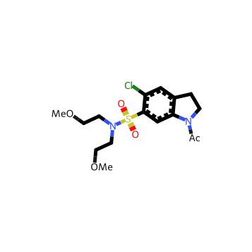 COCCN(CCOC)S(=O)(=O)c1cc2c(cc1Cl)CCN2C(C)=O